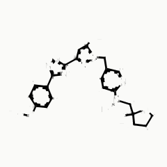 Cc1cc(-c2nc(-c3ccc(OC(F)(F)F)cc3)no2)nn1Cc1ccc(N(C)CC2(C)CCCO2)nc1